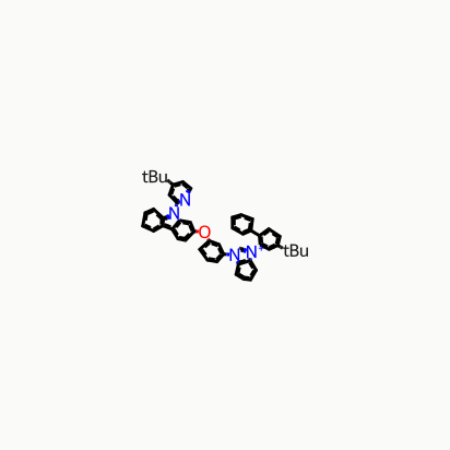 CC(C)(C)c1ccnc(-n2c3ccccc3c3ccc(Oc4cccc(-n5c[n+](-c6cc(C(C)(C)C)ccc6-c6ccccc6)c6ccccc65)c4)cc32)c1